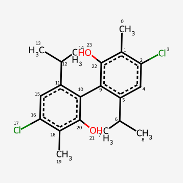 Cc1c(Cl)cc(C(C)C)c(-c2c(C(C)C)cc(Cl)c(C)c2O)c1O